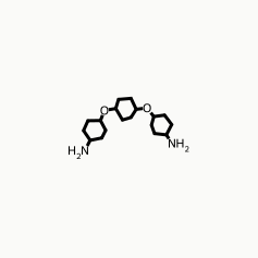 NC1CCC(OC2CCC(OC3CCC(N)CC3)CC2)CC1